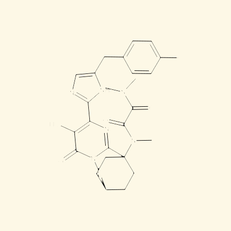 CN(C)C(=O)C(=O)N(C)C12CCC(CC1)Cn1c2nc(-c2ncc(Cc3ccc(F)cc3)[nH]2)c(O)c1=O